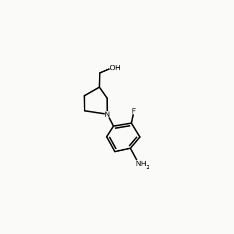 Nc1ccc(N2CCC(CO)C2)c(F)c1